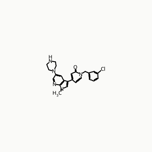 Cn1cc(-c2ccn(Cc3cccc(Cl)c3)c(=O)c2)c2cc(N3CCNCC3)cnc21